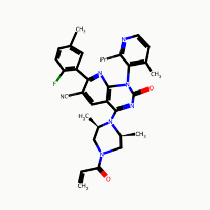 C=CC(=O)N1C[C@@H](C)N(c2nc(=O)n(-c3c(C)ccnc3C(C)C)c3nc(-c4cc(C)ccc4F)c(C#N)cc23)[C@@H](C)C1